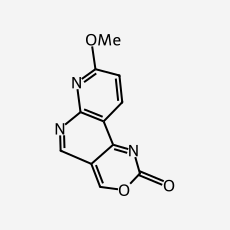 COc1ccc2c(ncc3coc(=O)nc32)n1